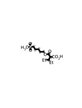 CCC(CC)C(C(=O)O)C(=O)OCCCCCS(C)(=O)=O